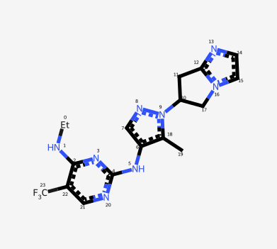 CCNc1nc(Nc2cnn(C3Cc4nccn4C3)c2C)ncc1C(F)(F)F